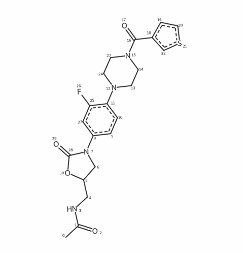 CC(=O)NCC1CN(c2ccc(N3CCN(C(=O)c4ccsc4)CC3)c(F)c2)C(=O)O1